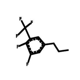 CCCc1cc(F)c(F)c(C(F)(F)F)c1